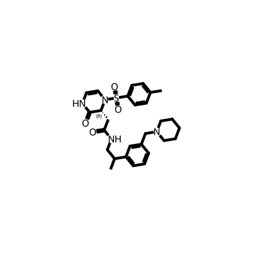 Cc1ccc(S(=O)(=O)N2C=CNC(=O)[C@H]2CC(=O)NCC(C)c2cccc(CN3CCCCC3)c2)cc1